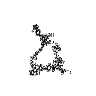 CCC(=C(c1ccc(OCCN(C)C(=O)CCOCCOCCC(=O)N[C@H](C(=O)N2C[C@H](O)C[C@H]2C(=O)NCc2ccc(-c3scnc3C)cc2)C(C)(C)C)cc1)c1ccc(OCc2ccc(NC(=O)[C@H](CCCNC(N)=O)NC(=O)[C@@H](NC(=O)CCCCCN3C(=O)C=CC3=O)C(C)C)cc2)cc1)c1ccccc1